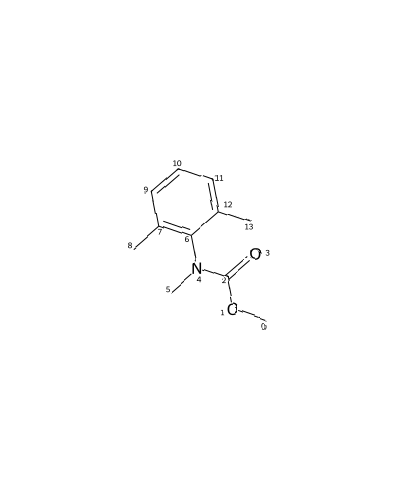 COC(=O)N(C)c1c(C)cccc1C